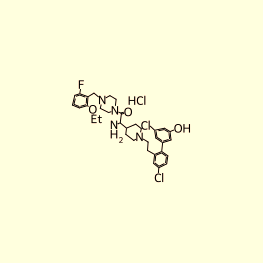 CCOc1cccc(F)c1CN1CCN(C(=O)[C@H](N)C2CCN(CCc3cc(Cl)ccc3-c3cc(O)cc(Cl)c3)CC2)CC1.Cl